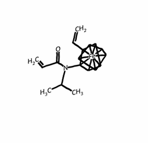 C=CC(=O)N(C(C)C)[C]12[CH]3[CH]4[CH]5[C]1(C=C)[Fe]45321678[CH]2[CH]1[CH]6[CH]7[CH]28